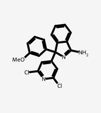 COc1cccc(C2(c3cc(Cl)nc(Cl)c3)N=C(N)c3ccccc32)c1